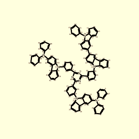 c1ccc(N(c2ccccc2)c2ccc3c(c2)c2ccccc2n3-c2cccc(-c3nc(-c4cccc(-n5c6ccccc6c6cc(-c7ccc8c(c7)c7ccccc7n8-c7ccccc7)ccc65)c4)nc(-c4cccc(-n5c6ccccc6c6cc(N(c7ccccc7)c7ccccc7)ccc65)c4)n3)c2)cc1